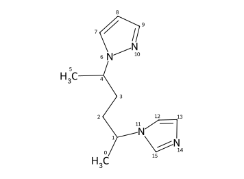 CC(CCC(C)n1cccn1)n1ccnc1